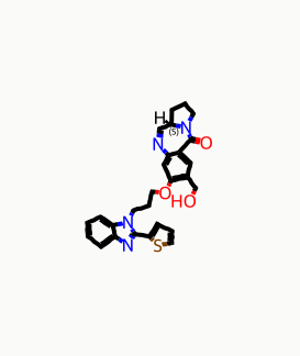 O=C1c2cc(CO)c(OCCCn3c(-c4cccs4)nc4ccccc43)cc2N=C[C@@H]2CCCN12